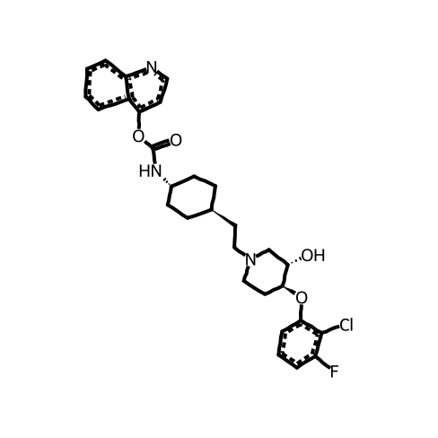 O=C(N[C@H]1CC[C@H](CCN2CC[C@H](Oc3cccc(F)c3Cl)[C@@H](O)C2)CC1)Oc1ccnc2ccccc12